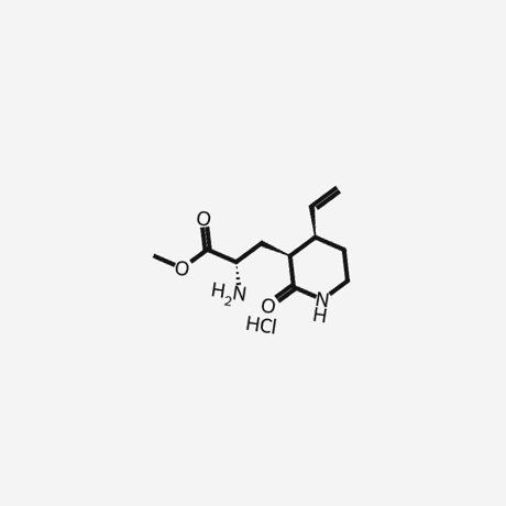 C=C[C@H]1CCNC(=O)[C@H]1C[C@H](N)C(=O)OC.Cl